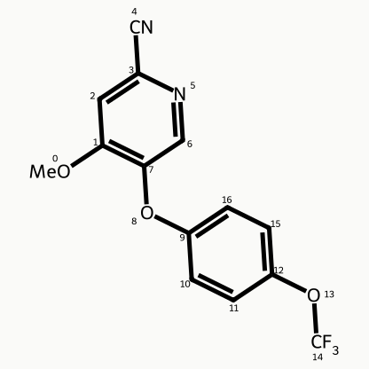 COc1cc(C#N)ncc1Oc1ccc(OC(F)(F)F)cc1